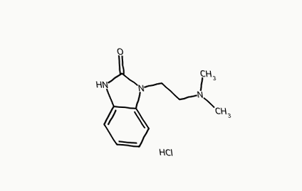 CN(C)CCn1c(=O)[nH]c2ccccc21.Cl